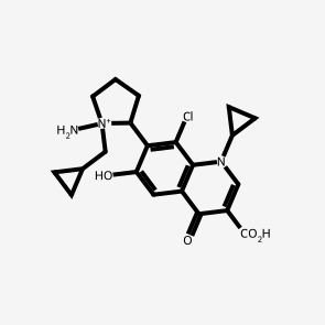 N[N+]1(CC2CC2)CCCC1c1c(O)cc2c(=O)c(C(=O)O)cn(C3CC3)c2c1Cl